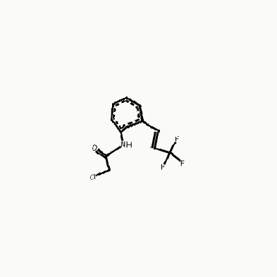 O=C(CCl)Nc1ccccc1C=CC(F)(F)F